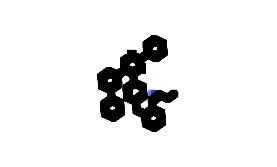 CC/C=C\c1ccccc1CC1=CCC(c2nc(-c3ccccc3)ncc2-c2cccc(-c3ccccc3)c2)C=C1